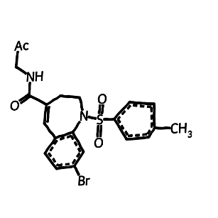 CC(=O)CNC(=O)C1=Cc2ccc(Br)cc2N(S(=O)(=O)c2ccc(C)cc2)CC1